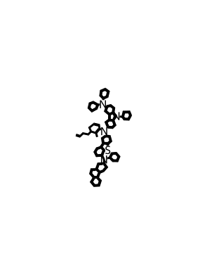 C=CCCC1CC=CC(N(c2ccc3sc4c(N(c5ccccc5)c5ccc6c(ccc7ccccc76)c5)cccc4c3c2)c2ccc3c(c2)c2cc(N(c4ccccc4)c4ccccc4)ccc2n3-c2ccccc2)=C1C